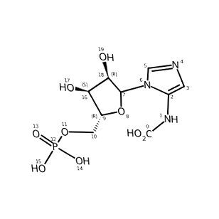 O=C(O)Nc1cncn1C1O[C@H](COP(=O)(O)O)[C@@H](O)[C@H]1O